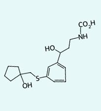 O=C(O)NCCC(O)c1cccc(SCC2(O)CCCC2)c1